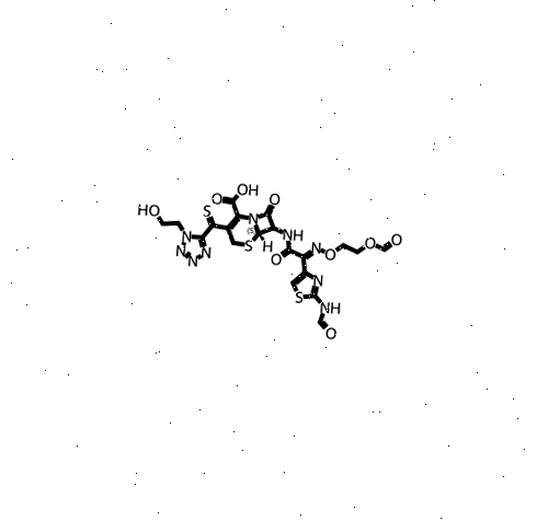 O=CNc1nc(C(=NOCCOC=O)C(=O)NC2C(=O)N3C(C(=O)O)=C(C(=S)c4nnnn4CCO)CS[C@@H]23)cs1